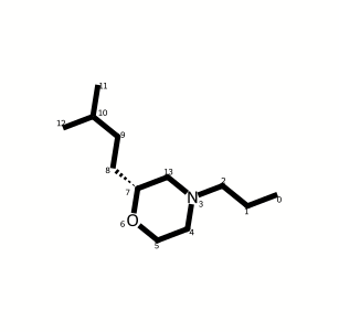 CCCN1CCO[C@H](CCC(C)C)C1